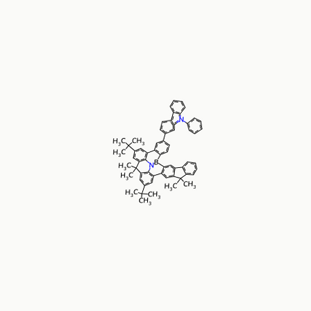 CC(C)(C)c1cc2c3c(c1)C(C)(C)c1cc(C(C)(C)C)cc4c1N3B(c1ccc(-c3ccc5c6ccccc6n(-c6ccccc6)c5c3)cc1-2)c1cc2c(cc1-4)C(C)(C)c1ccccc1-2